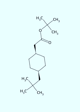 CC(C)(C)C[C@H]1CC[C@@H](CC(=O)OC(C)(C)C)CC1